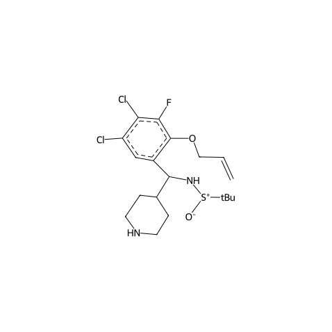 C=CCOc1c(C(N[S+]([O-])C(C)(C)C)C2CCNCC2)cc(Cl)c(Cl)c1F